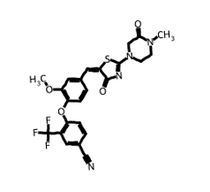 COc1cc(C=C2SC(N3CCN(C)C(=O)C3)=NC2=O)ccc1Oc1ccc(C#N)cc1C(F)(F)F